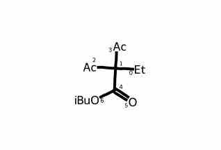 CCC(C(C)=O)(C(C)=O)C(=O)OCC(C)C